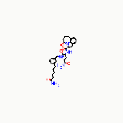 NC(=O)CCCCCc1cccc(CNC(=O)[C@H](CCC(N)=O)NC(=O)[C@@H]2Cc3cccc4c3N2C(=O)CCC4)c1